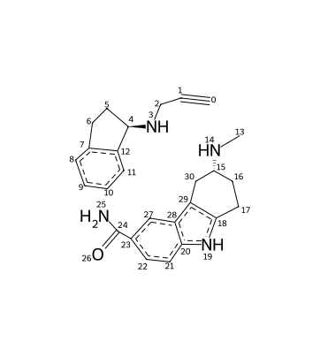 C#CCN[C@@H]1CCc2ccccc21.CN[C@@H]1CCc2[nH]c3ccc(C(N)=O)cc3c2C1